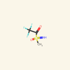 CS(=N)(=O)C(=O)C(F)(F)F